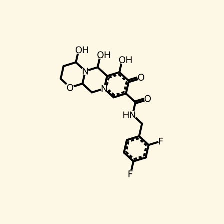 O=C(NCc1ccc(F)cc1F)c1cn2c(c(O)c1=O)C(O)N1C(O)CCOC1C2